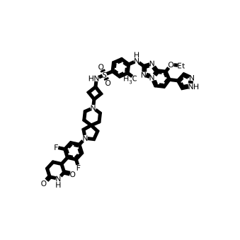 CCOc1c(-c2cn[nH]c2)ccn2nc(Nc3ccc(S(=O)(=O)NC4CC(N5CCC6(CCN(c7cc(F)c(C8CCC(=O)NC8=O)c(F)c7)C6)CC5)C4)cc3C)nc12